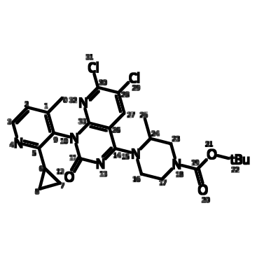 Cc1ccnc(C2CC2)c1-n1c(=O)nc(N2CCN(C(=O)OC(C)(C)C)CC2C)c2cc(Cl)c(Cl)nc21